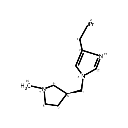 CC(C)Cc1cn(C[C@H]2CCN(C)C2)cn1